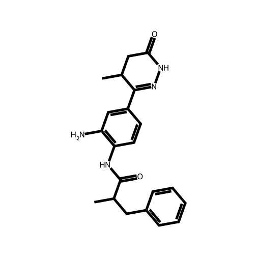 CC(Cc1ccccc1)C(=O)Nc1ccc(C2=NNC(=O)CC2C)cc1N